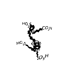 CC1(CCCCS(=O)(=O)O)C=[N+](CCCCS(=O)(=O)O)c2ccc(S(=O)(=O)O/C=C/C=C/C=C3\N(CCCCCC(=O)O)c4ccc(S(=O)(=O)O)cc4C3(C)C)cc21